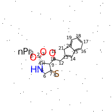 CCCOC(=O)[C@H]1NCC(=S)C1C(=O)CC1=Cc2ccccc2C1